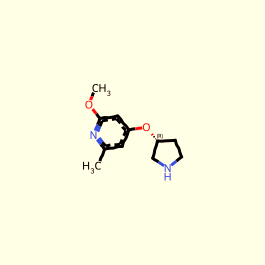 COc1cc(O[C@@H]2CCNC2)cc(C)n1